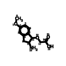 COc1ccc2c(c1)CC(N)C2OCC(=O)O